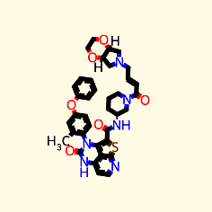 Cc1cc(Oc2ccccc2)ccc1N1C(=O)Nc2ccnc3sc(C(=O)N[C@@H]4CCCN(C(=O)/C=C/CN5C[C@@H]6OCCO[C@@H]6C5)C4)c1c23